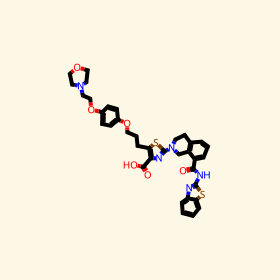 O=C(Nc1nc2ccccc2s1)c1cccc2c1CN(c1nc(C(=O)O)c(CCCOc3ccc(OCCN4CCOCC4)cc3)s1)CC2